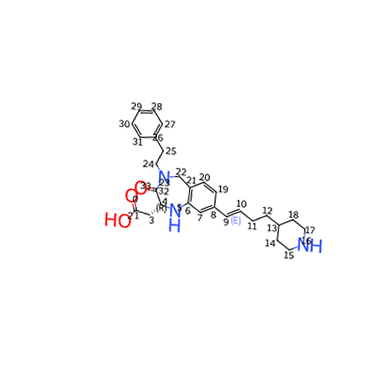 O=C(O)C[C@H]1Nc2cc(/C=C/CCC3CCNCC3)ccc2CN(CCc2ccccc2)C1=O